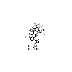 CN(C)[C@@H]1C(O)=C(C(N)=O)C(=O)[C@@]2(O)C(O)=C3C(=O)c4c(O)ccc(-c5occc5CNC(C)(C)C)c4C[C@H]3C[C@@H]12